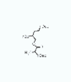 CCCCCCCCCCCCC(CCCC)COC(=O)C(C)CCCCCCCCCC